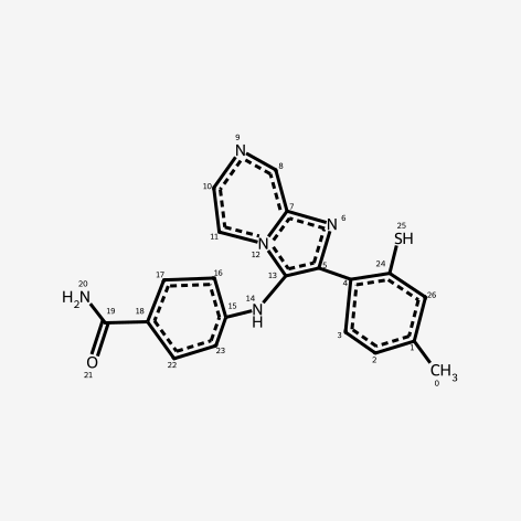 Cc1ccc(-c2nc3cnccn3c2Nc2ccc(C(N)=O)cc2)c(S)c1